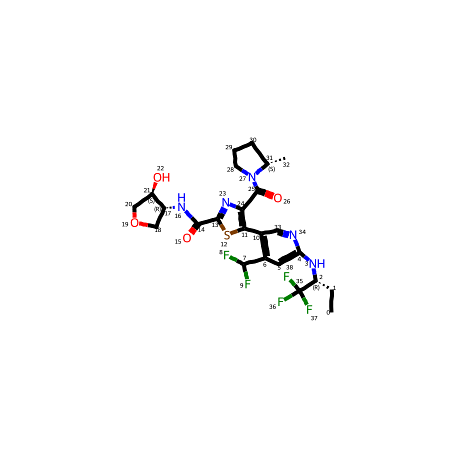 CC[C@@H](Nc1cc(C(F)F)c(-c2sc(C(=O)N[C@@H]3COC[C@H]3O)nc2C(=O)N2CCC[C@@H]2C)cn1)C(F)(F)F